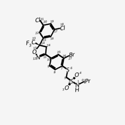 CC(C)NS(=O)(=O)CSc1ccc(C2=NO[C@@](c3cc(Cl)cc(Cl)c3)(C(F)(F)F)C2)cc1Br